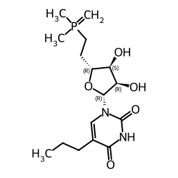 C=P(C)(C)CC[C@H]1O[C@@H](n2cc(CCC)c(=O)[nH]c2=O)[C@H](O)[C@@H]1O